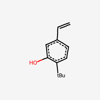 C=Cc1ccc(C(C)(C)C)c(O)c1